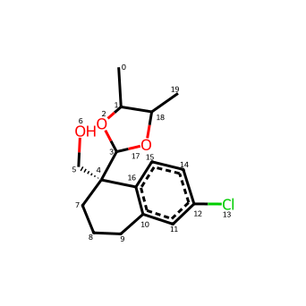 CC1OC([C@]2(CO)CCCc3cc(Cl)ccc32)OC1C